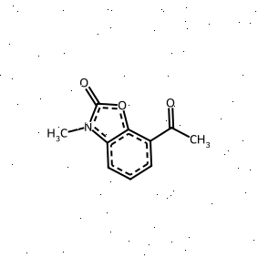 CC(=O)c1cccc2c1oc(=O)n2C